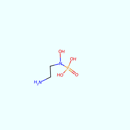 NCCN(O)P(=O)(O)O